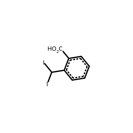 O=C(O)c1ccccc1C(I)I